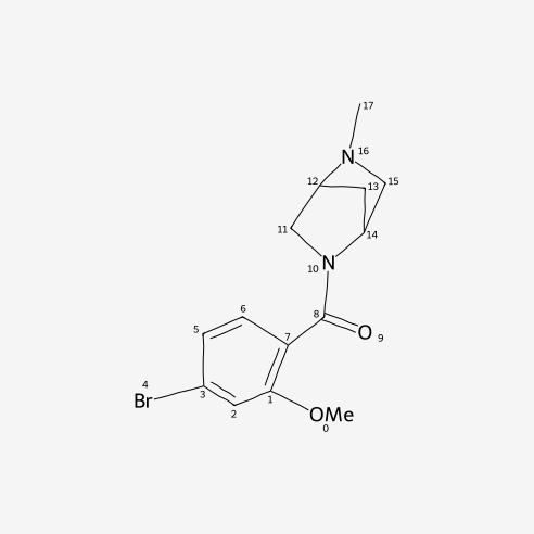 COc1cc(Br)ccc1C(=O)N1CC2CC1CN2C